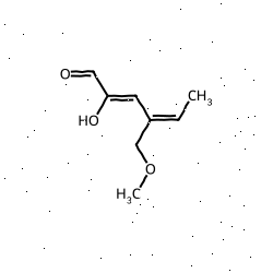 C/C=C(\C=C(/O)C=O)COC